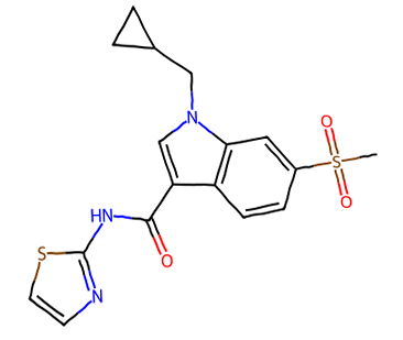 CS(=O)(=O)c1ccc2c(C(=O)Nc3nccs3)cn(CC3CC3)c2c1